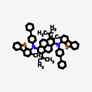 Cc1ccc2c(sc3ccccc32)c1N(c1ccc(-c2ccccc2)cc1)c1cc(C(C)C)c2ccc3c(N(c4ccc(-c5ccccc5)cc4)c4c(C)ccc5c4sc4ccccc45)cc(C(C)C)c4ccc1c2c43